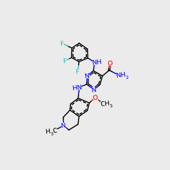 COc1cc2c(cc1Nc1ncc(C(N)=O)c(Nc3ccc(F)c(F)c3F)n1)CN(C)CC2